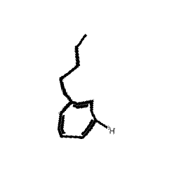 [3H]c1cc[c]c(CCCC)c1